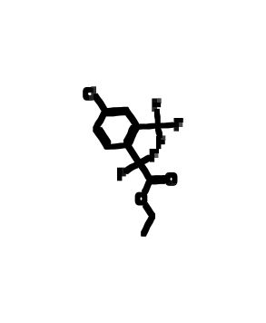 CCOC(=O)C(F)(F)c1ccc(Cl)cc1C(F)(F)F